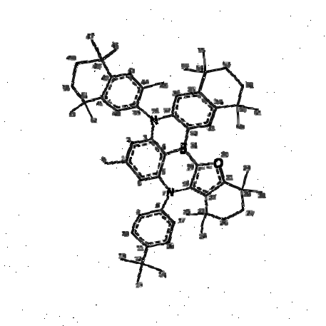 Cc1cc2c3c(c1)N(c1ccc(C(C)(C)C)cc1)c1c(oc4c1C(C)(C)CCC4(C)C)B3c1cc3c(cc1N2c1cc2c(cc1C)C(C)(C)CCC2(C)C)C(C)(C)CCC3(C)C